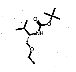 C[CH]OC[C@@H](NC(=O)OC(C)(C)C)C(C)C